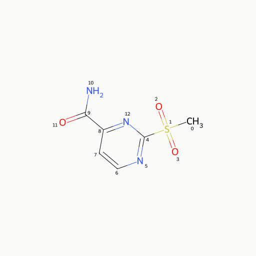 CS(=O)(=O)c1nccc(C(N)=O)n1